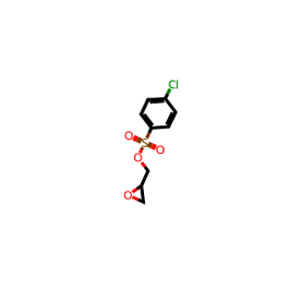 O=S(=O)(OCC1CO1)c1ccc(Cl)cc1